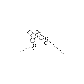 CCCCCCCCCC(=O)Oc1ccc(OC(=O)c2ccccc2-c2ccc(OC(C)CCCCCC)cc2)c(F)c1